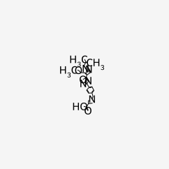 COCc1c(-c2nc(-c3ccc(CN4CC(C(=O)O)C4)cc3)no2)cnn1CC(C)C